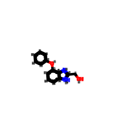 OCc1nc2c(Oc3ccccc3)cccc2[nH]1